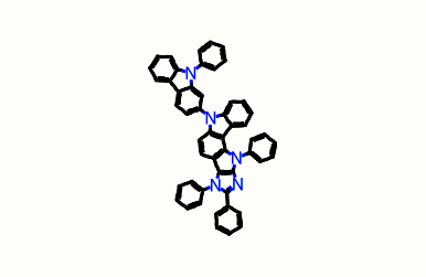 c1ccc(-c2nc3c(c4ccc5c(c6ccccc6n5-c5ccc6c7ccccc7n(-c7ccccc7)c6c5)c4n3-c3ccccc3)n2-c2ccccc2)cc1